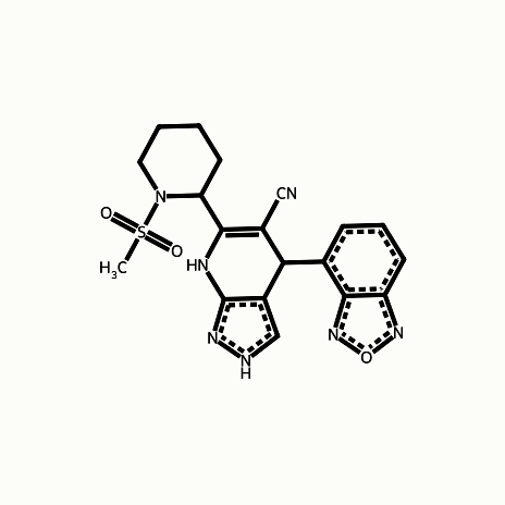 CS(=O)(=O)N1CCCCC1C1=C(C#N)C(c2cccc3nonc23)c2c[nH]nc2N1